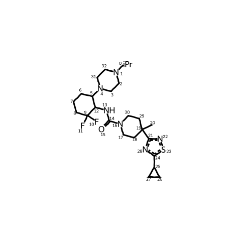 CC(C)N1CCN(C2CCCC(F)(F)C2NC(=O)N2CCC(C)(c3nsc(C4CC4)n3)CC2)CC1